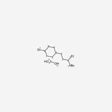 CCCCC(CC)CCC1CCC(CC)CC1.O=S(=O)(O)O